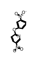 O=[N+]([O-])c1ccc(Oc2cccc([N+](=O)[O-])c2)nc1